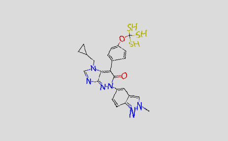 Cn1cc2cc(-n3nc4ncn(CC5CC5)c4c(-c4ccc(OC(S)(S)S)cc4)c3=O)ccc2n1